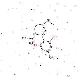 C=C(C)[C@@H]1CCC(C)=CC1c1c(O)cc(C)cc1O